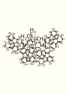 CC1(C)CC(C)(c2cccc(N(c3ccc4c(c3)C(c3ccccc3)(c3ccccc3)c3ccccc3-4)c3ccc4c(c3)C3(c5ccccc5-c5ccccc53)c3ccccc3-4)c2)c2ccc(N(c3ccc4c(c3)C(c3ccccc3)(c3ccccc3)c3ccccc3-4)c3ccc4c(c3)C3(c5ccccc5-c5ccccc53)c3ccccc3-4)cc21